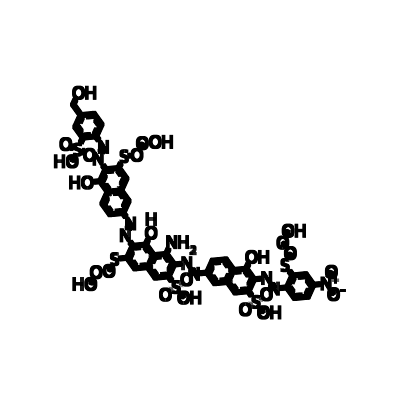 Nc1c(N=Nc2ccc3c(O)c(N=Nc4ccc([N+](=O)[O-])cc4SOOO)c(S(=O)(=O)O)cc3c2)c(S(=O)(=O)O)cc2cc(SOOO)c(N=Nc3ccc4c(O)c(N=Nc5ccc(CO)cc5S(=O)(=O)O)c(SOOO)cc4c3)c(O)c12